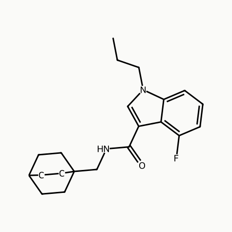 CCCn1cc(C(=O)NCC23CCC(CC2)CC3)c2c(F)cccc21